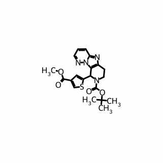 COC(=O)c1csc(C2c3c(nc4cccnn34)CCN2C(=O)OC(C)(C)C)c1